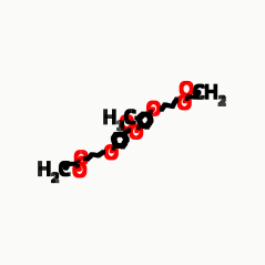 C=CC(=O)OCCCCOc1ccc(C(=O)Oc2ccc(OCCCCOC(=O)C=C)cc2C)cc1